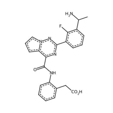 CC(N)c1cccc(-c2nc(C(=O)Nc3ccccc3CC(=O)O)c3cccn3n2)c1F